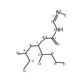 C=C(N/C=N\C)SC(CC(C)CC)C(C)CCC